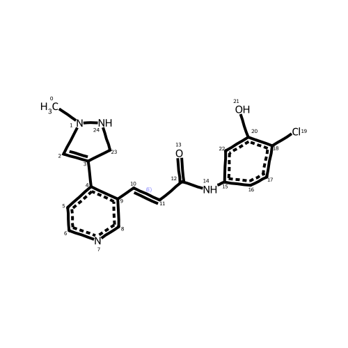 CN1C=C(c2ccncc2/C=C/C(=O)Nc2ccc(Cl)c(O)c2)CN1